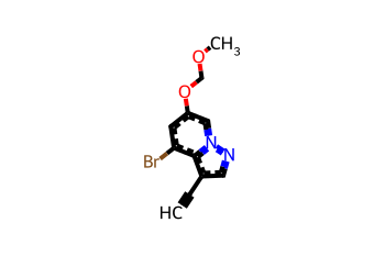 C#Cc1cnn2cc(OCOC)cc(Br)c12